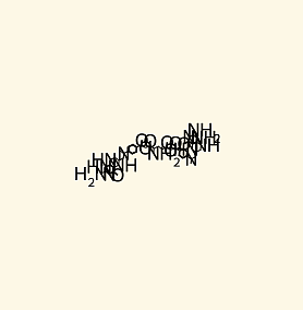 CN(CC1CNc2[nH]c(N)nc(=O)c2N1)c1ccc(C(=O)OC(=O)CCC(N)C(=O)OC(=O)c2ccc(N(C)CC3CNc4[nH]c(N)nc(=O)c4N3)cc2)cc1